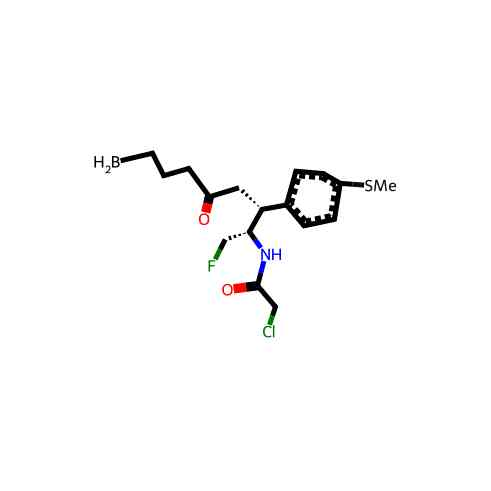 BCCCC(=O)C[C@H](c1ccc(SC)cc1)[C@@H](CF)NC(=O)CCl